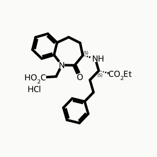 CCOC(=O)[C@H](CCc1ccccc1)N[C@H]1CCc2ccccc2N(CC(=O)O)C1=O.Cl